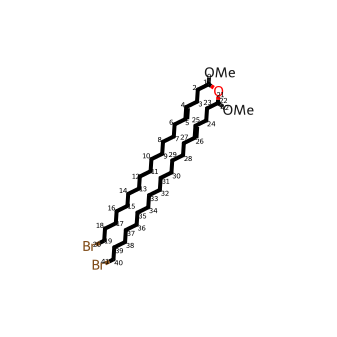 COC(CCC=CCCCCCCCCCCCCCCBr)OC(CCC=CCCCCCCCCCCCCCCBr)OC